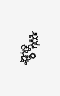 CC[C@H](C)[C@H](N[C@H](C(=O)NC)C(C)C)[C@@H](CC(=O)N1CCC[C@H]1[C@H](OC)[C@@H](C)C(=S)N[C@@H](Cc1ccccc1)C(=O)OC)OC